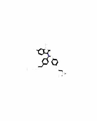 CCN(CC)CCS(=O)(=O)c1ccc(N/C(=C2\C(=O)Nc3cc(Br)ccc32)c2ccc(CCC(=O)O)cc2)cc1